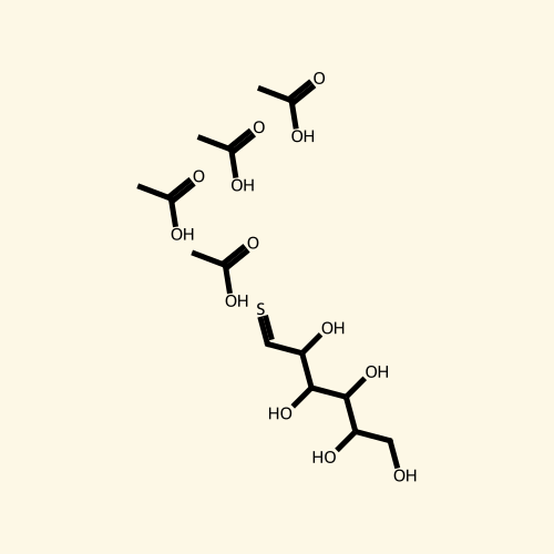 CC(=O)O.CC(=O)O.CC(=O)O.CC(=O)O.OCC(O)C(O)C(O)C(O)C=S